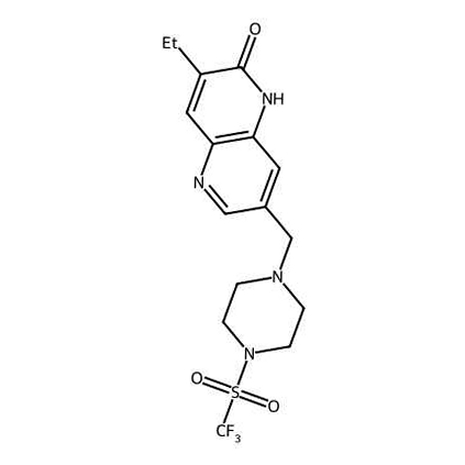 CCc1cc2ncc(CN3CCN(S(=O)(=O)C(F)(F)F)CC3)cc2[nH]c1=O